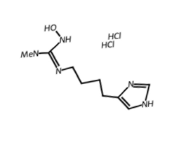 CNC(=NCCCCc1c[nH]cn1)NO.Cl.Cl